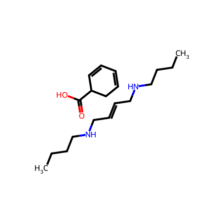 CCCCNCC=CCNCCCC.O=C(O)C1C=CC=CC1